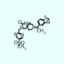 C[C@@H](c1ccc2scnc2c1)N1CCC2(CC1)CN(Cc1ncc(S(C)(=O)=O)cn1)C(=O)N2